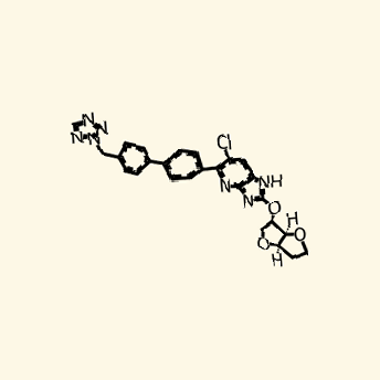 Clc1cc2[nH]c(O[C@@H]3CO[C@@H]4CCO[C@@H]43)nc2nc1-c1ccc(-c2ccc(Cn3ncnn3)cc2)cc1